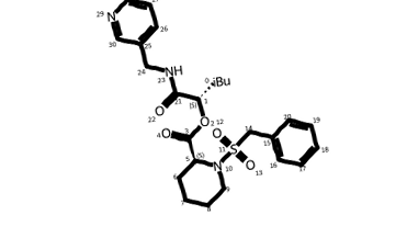 CCC(C)[C@H](OC(=O)[C@@H]1CCCCN1S(=O)(=O)Cc1ccccc1)C(=O)NCc1cccnc1